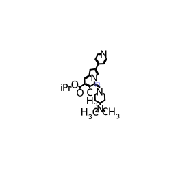 CC1=C(C(=O)OC(C)C)C=C2CC(c3ccncc3)=CN2/C1=C/N1CCC(N(C)C)CC1